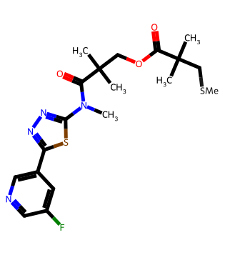 CSCC(C)(C)C(=O)OCC(C)(C)C(=O)N(C)c1nnc(-c2cncc(F)c2)s1